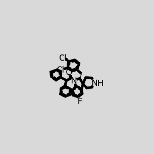 O=C(C(c1ccccc1)c1ccccc1)N1c2ccc(F)cc2C2(CCNCC2)[C@H]1Cc1ccc(Cl)c(Cl)c1